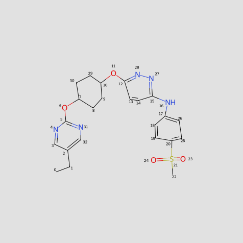 CCc1cnc(OC2CCC(Oc3ccc(Nc4ccc(S(C)(=O)=O)cc4)nn3)CC2)nc1